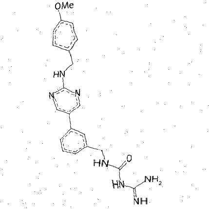 COc1ccc(CNc2ncc(-c3cccc(CNC(=O)NC(=N)N)c3)cn2)cc1